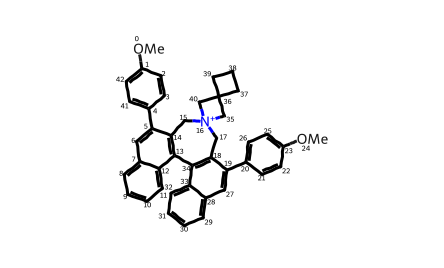 COc1ccc(-c2cc3ccccc3c3c2C[N+]2(Cc4c(-c5ccc(OC)cc5)cc5ccccc5c4-3)CC3(CCC3)C2)cc1